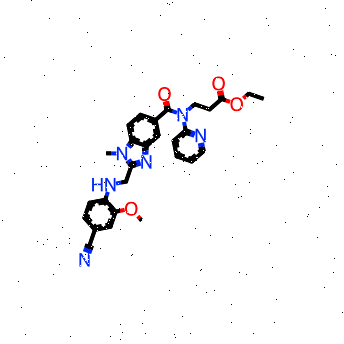 CCOC(=O)CCN(C(=O)c1ccc2c(c1)nc(CNc1ccc(C#N)cc1OC)n2C)c1ccccn1